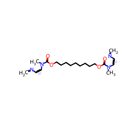 C=N/C=C\N(C)C(=O)OCCCCCCCCCOC(=O)N(C)/C=C\N=C